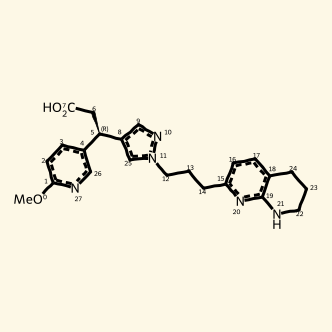 COc1ccc([C@@H](CC(=O)O)c2cnn(CCCc3ccc4c(n3)NCCC4)c2)cn1